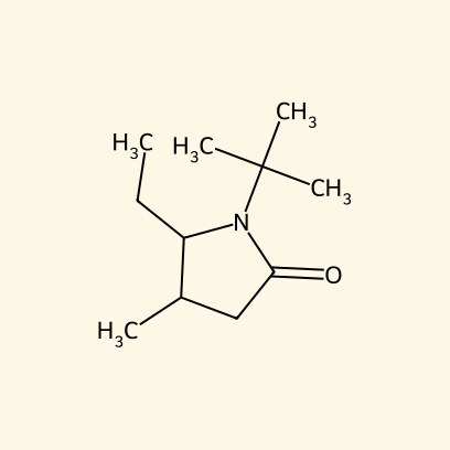 CCC1C(C)CC(=O)N1C(C)(C)C